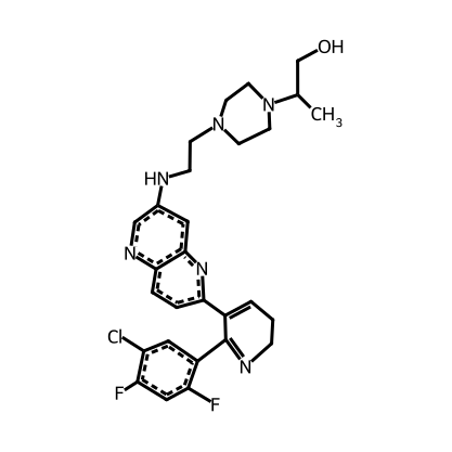 CC(CO)N1CCN(CCNc2cnc3ccc(C4=CCCN=C4c4cc(Cl)c(F)cc4F)nc3c2)CC1